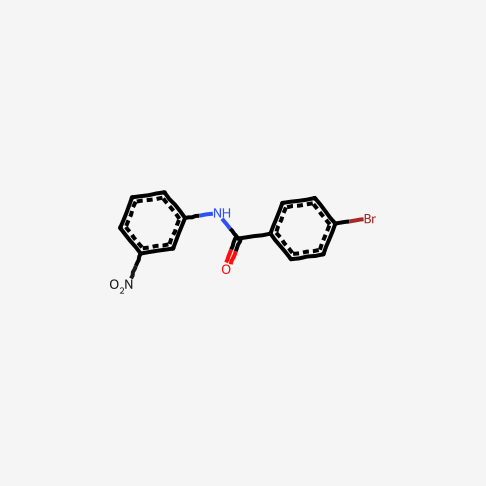 O=C(Nc1cccc([N+](=O)[O-])c1)c1ccc(Br)cc1